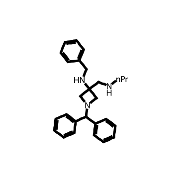 CCCNCC1(NCc2ccccc2)CN(C(c2ccccc2)c2ccccc2)C1